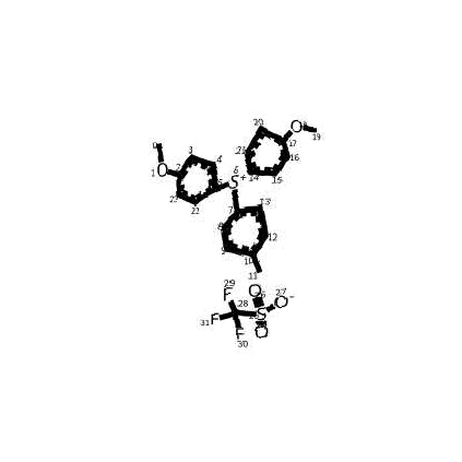 COc1ccc([S+](c2ccc(C)cc2)c2ccc(OC)cc2)cc1.O=S(=O)([O-])C(F)(F)F